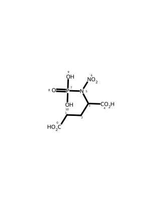 O=C(O)CCC(C(=O)O)N([N+](=O)[O-])P(=O)(O)O